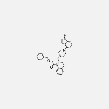 O=C(COCc1ccccc1)N1c2ccccc2CCC1CN1CCN(c2cccc3[nH]ccc23)CC1